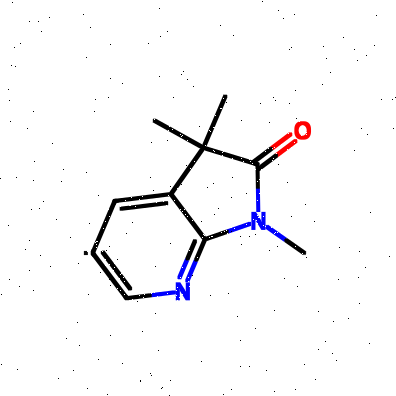 CN1C(=O)C(C)(C)c2c[c]cnc21